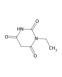 CCN1C(=O)CC(=O)NC1=O